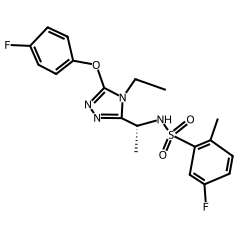 CCn1c(Oc2ccc(F)cc2)nnc1[C@@H](C)NS(=O)(=O)c1cc(F)ccc1C